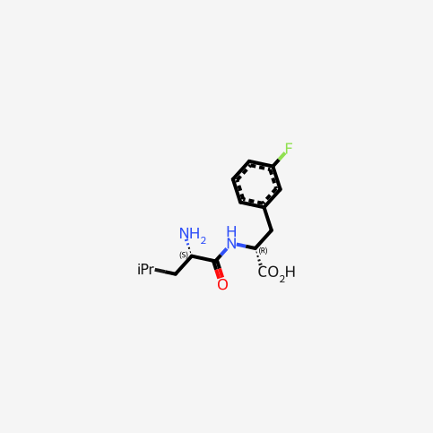 CC(C)C[C@H](N)C(=O)N[C@H](Cc1cccc(F)c1)C(=O)O